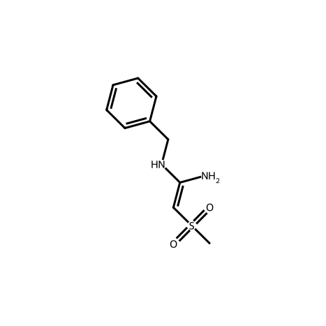 CS(=O)(=O)/C=C(\N)NCc1ccccc1